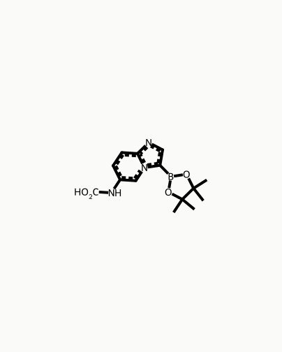 CC1(C)OB(c2cnc3ccc(NC(=O)O)cn23)OC1(C)C